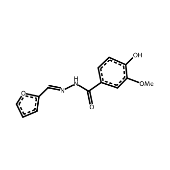 COc1cc(C(=O)N/N=C/c2ccco2)ccc1O